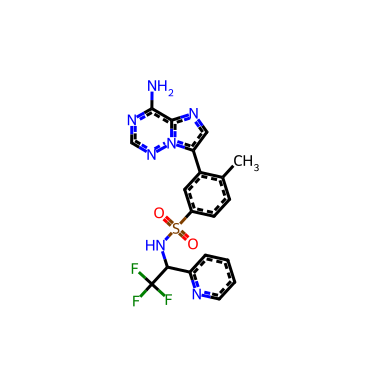 Cc1ccc(S(=O)(=O)NC(c2ccccn2)C(F)(F)F)cc1-c1cnc2c(N)ncnn12